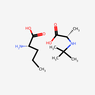 CCC[C@H](N)C(=O)O.C[C@H](NC(C)(C)C)C(=O)O